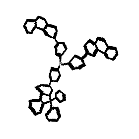 c1ccc(C2(c3ccccc3)c3ccccc3-c3ccc(-c4ccc(N(c5ccc(-c6ccc7ccc8ccccc8c7c6)cc5)c5cccc(-c6ccc7ccc8ccccc8c7c6)c5)cc4)cc32)cc1